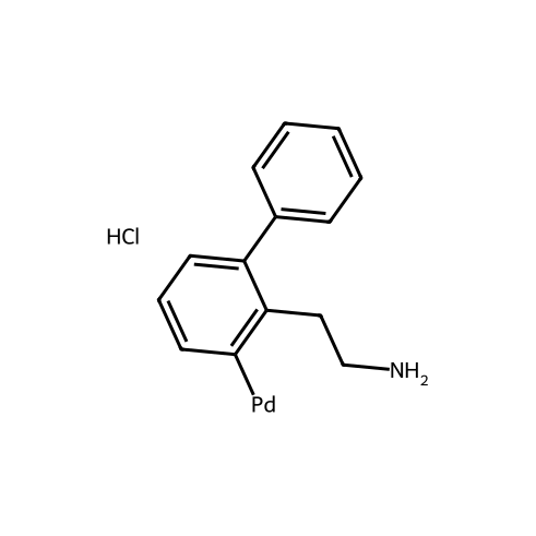 Cl.NCCc1[c]([Pd])cccc1-c1ccccc1